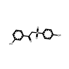 O=C(CS(=O)(=O)c1ccc(O)cc1)c1cccc(O)c1